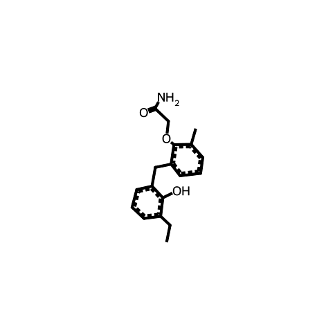 CCc1cccc(Cc2cccc(C)c2OCC(N)=O)c1O